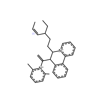 C=C(C1c2ccccc2-c2cccc[n+]2C1CCC(/C=C\C)CC)[n+]1c(C)cccc1C